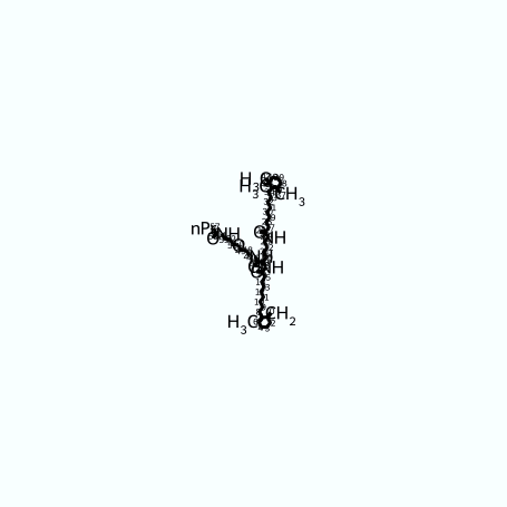 C=C1CCCC(C)=C1CCCCCCCCC(=O)NC(CCCCNC(=O)CCCCCCCCC1=C(C)CCCC1(C)C)C(=O)NCCCOCCCNC(=O)CCC